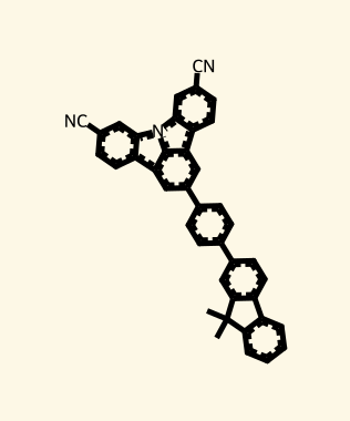 CC1(C)c2ccccc2-c2ccc(-c3ccc(-c4cc5c6ccc(C#N)cc6n6c7cc(C#N)ccc7c(c4)c56)cc3)cc21